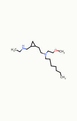 CCCCCCCN(CCOC)CCC1CC1CNCC